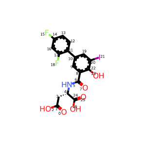 O=C(O)C[C@H](NC(=O)c1cc(-c2ccc(F)cc2F)cc(I)c1O)C(=O)O